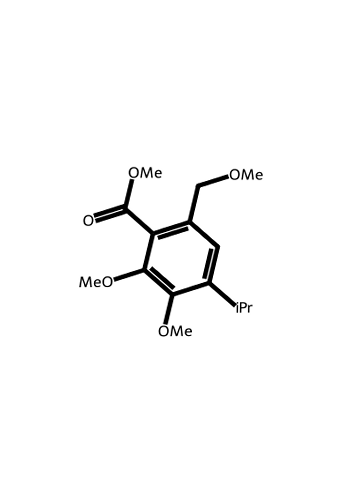 COCc1cc(C(C)C)c(OC)c(OC)c1C(=O)OC